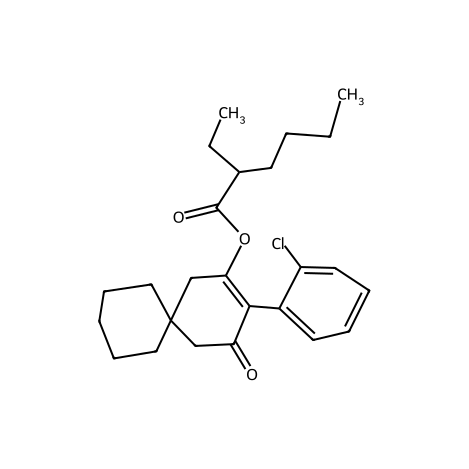 CCCCC(CC)C(=O)OC1=C(c2ccccc2Cl)C(=O)CC2(CCCCC2)C1